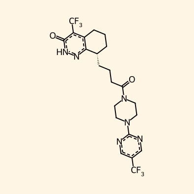 O=C(CCC[C@H]1CCCc2c1n[nH]c(=O)c2C(F)(F)F)N1CCN(c2ncc(C(F)(F)F)cn2)CC1